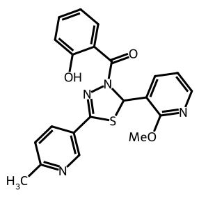 COc1ncccc1C1SC(c2ccc(C)nc2)=NN1C(=O)c1ccccc1O